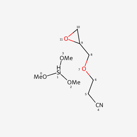 CO[SiH](OC)OC.N#CCCOCC1CO1